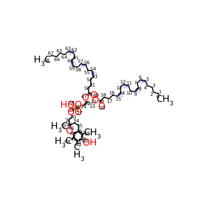 CCCCC/C=C\C/C=C\C/C=C\C/C=C\CCCC(=O)OC[C@H](COP(=O)(O)OCCC1(C)CCc2c(C)c(O)c(C)c(C)c2O1)OC(=O)CCC/C=C\C/C=C\C/C=C\C/C=C\CCCCC